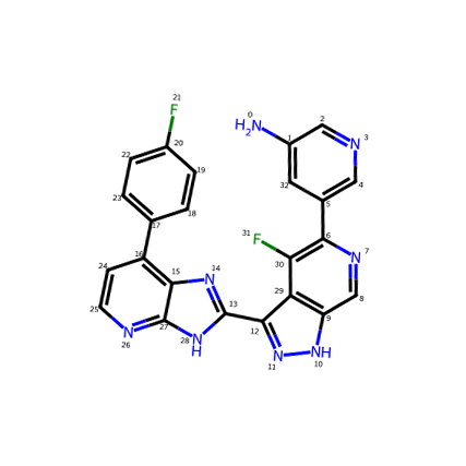 Nc1cncc(-c2ncc3[nH]nc(-c4nc5c(-c6ccc(F)cc6)ccnc5[nH]4)c3c2F)c1